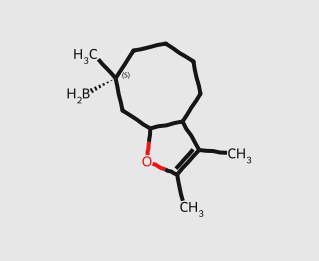 B[C@]1(C)CCCCC2C(C)=C(C)OC2C1